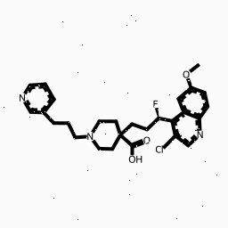 COc1ccc2ncc(Cl)c([C@H](F)CCC3(C(=O)O)CCN(CCCc4cccnc4)CC3)c2c1